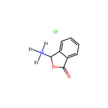 CC[N+](CC)(CC)C1OC(=O)c2ccccc21.[Cl-]